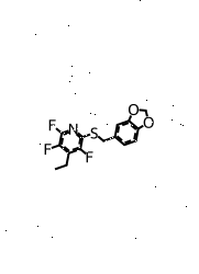 CCc1c(F)c(F)nc(SCc2ccc3c(c2)OCO3)c1F